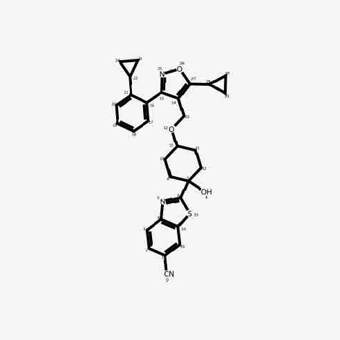 N#Cc1ccc2nc(C3(O)CCC(OCc4c(-c5ccccc5C5CC5)noc4C4CC4)CC3)sc2c1